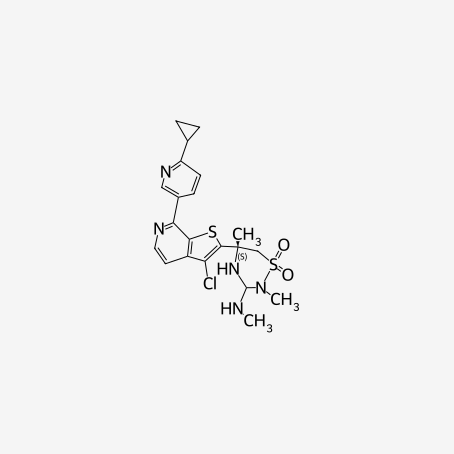 CNC1N[C@](C)(c2sc3c(-c4ccc(C5CC5)nc4)nccc3c2Cl)CS(=O)(=O)N1C